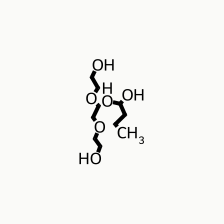 CCCC(O)O.OCCOCCOCCO